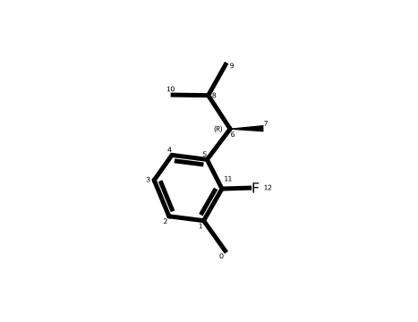 Cc1cccc([C@H](C)C(C)C)c1F